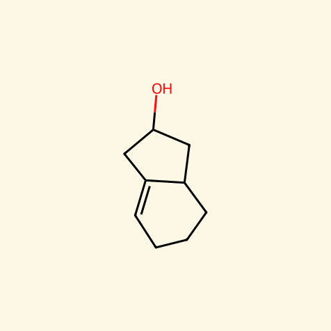 OC1CC2=CCCCC2C1